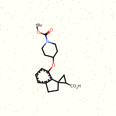 CC(C)(C)OC(=O)N1CCC(Oc2cccc3c2C2(CC3)CC2C(=O)O)CC1